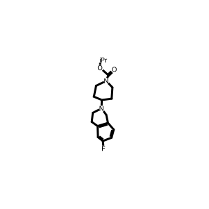 CC(C)OC(=O)N1CCC(N2CCc3cc(F)ccc3C2)CC1